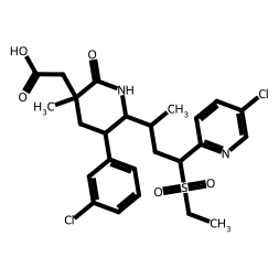 CCS(=O)(=O)C(CC(C)C1NC(=O)C(C)(CC(=O)O)CC1c1cccc(Cl)c1)c1ccc(Cl)cn1